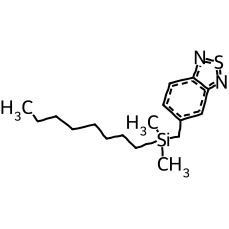 CCCCCCCC[Si](C)(C)Cc1ccc2nsnc2c1